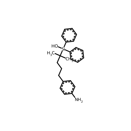 CC(C)(CCCc1ccc(N)cc1)[Si](O)(c1ccccc1)c1ccccc1